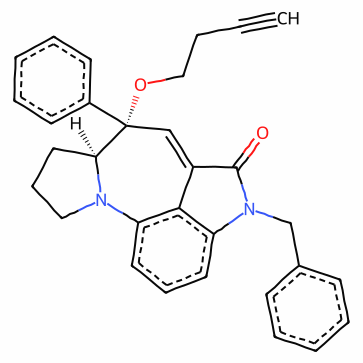 C#CCCO[C@]1(c2ccccc2)C=C2C(=O)N(Cc3ccccc3)c3cccc(c32)N2CCC[C@H]21